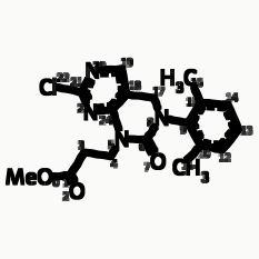 COC(=O)CCN1C(=O)N(c2c(C)cccc2C)Cc2cnc(Cl)nc21